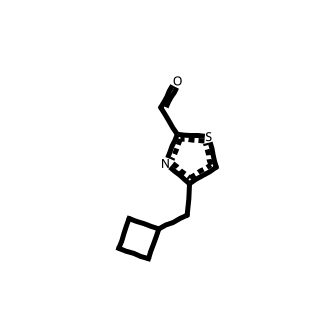 O=Cc1nc(CC2CCC2)cs1